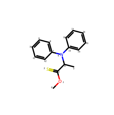 COC(=S)C(C)N(c1ccccc1)c1ccccc1